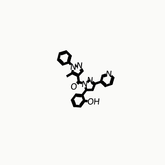 Cc1c(C(=O)N2N=C(c3cccnc3)CC2c2ccccc2O)cnn1-c1ccccc1